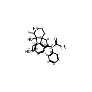 CCCC1(O)C(C)NCCC1(CC(=O)N(C(N)=O)c1ccccc1)c1cc(O)ccc1C